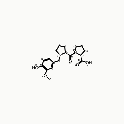 COc1cc(CN2CCC[C@H]2C(=O)N2CCC[C@H]2C(=O)O)ccc1O